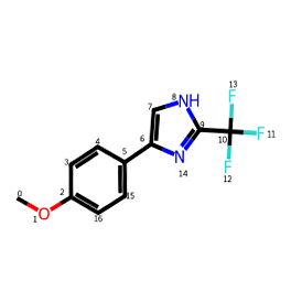 COc1ccc(-c2c[nH]c(C(F)(F)F)n2)cc1